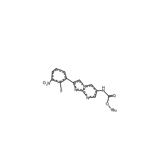 CC(C)(C)OC(=O)Nc1cnc2nc(-c3cccc([N+](=O)[O-])c3F)cn2c1